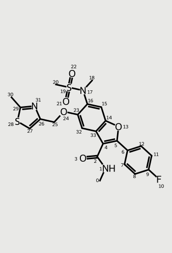 CNC(=O)c1c(-c2ccc(F)cc2)oc2cc(N(C)S(C)(=O)=O)c(OCc3csc(C)n3)cc12